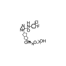 C[C@@H](C#CC1(O)CC2CC(c3ncn(C)c3C(=O)Nc3ccc(F)c(Cl)c3)CC2C1)OCC(C)(C)O